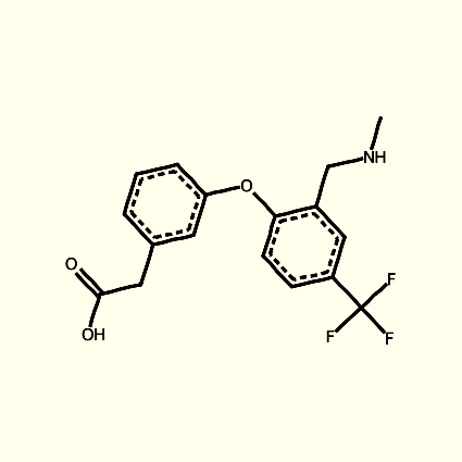 CNCc1cc(C(F)(F)F)ccc1Oc1cccc(CC(=O)O)c1